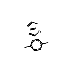 C=C.C=CC.C=CCC.Cc1ccc(C)cc1